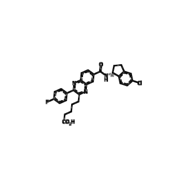 O=C(O)CCCCc1nc2cc(C(=O)N[C@@H]3CCc4cc(Cl)ccc43)ccc2nc1-c1ccc(F)cc1